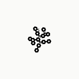 C1=CC2Sc3cc(N(c4cc(-c5cc6ccccc6c6ccccc56)cc(N(c5ccc(-c6ccccc6)cc5)c5ccc(-c6ccccc6)cc5)c4)c4ccc5c6ccccc6n(-c6ccccc6)c5c4)ccc3C2C=C1